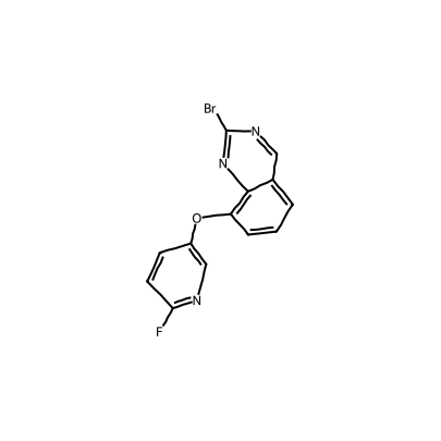 Fc1ccc(Oc2cccc3cnc(Br)nc23)cn1